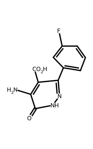 Nc1c(C(=O)O)c(-c2cccc(F)c2)n[nH]c1=O